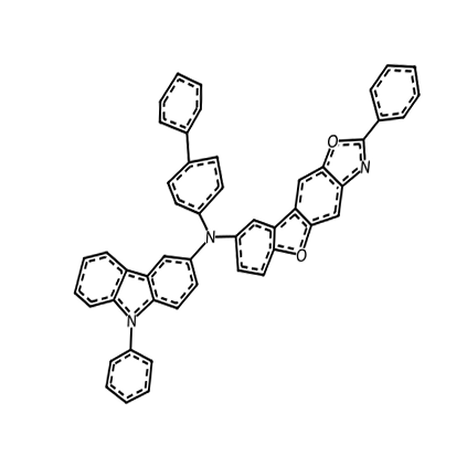 c1ccc(-c2ccc(N(c3ccc4oc5cc6nc(-c7ccccc7)oc6cc5c4c3)c3ccc4c(c3)c3ccccc3n4-c3ccccc3)cc2)cc1